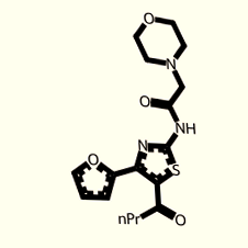 CCCC(=O)c1sc(NC(=O)CN2CCOCC2)nc1-c1ccco1